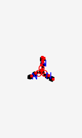 c1ccc(-c2ccc(COC3CC(OCc4ccc(-c5ccccc5)nc4)CC(OCc4ccc(-c5ccccc5)nc4)C3)cn2)cc1